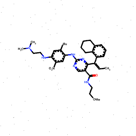 C/C=C(\c1cccc2c1CCCC2)c1nc(Nc2cc([N+](=O)[O-])c(NCCN(C)C)cc2C(C)CC)ncc1C(=O)NCCOC